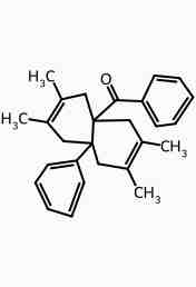 CC1=C(C)CC2(c3ccccc3)CC(C)=C(C)CC2(C(=O)c2ccccc2)C1